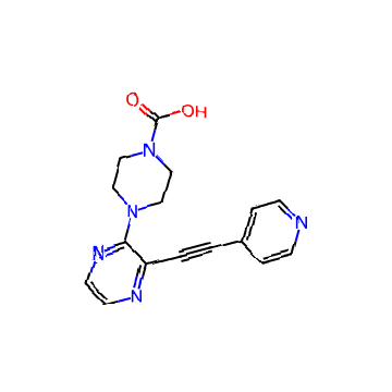 O=C(O)N1CCN(c2nccnc2C#Cc2ccncc2)CC1